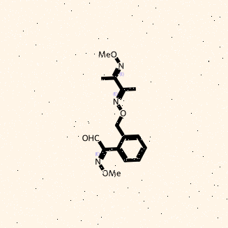 CO/N=C(C)/C(C)=N/OCc1ccccc1/C(C=O)=N\OC